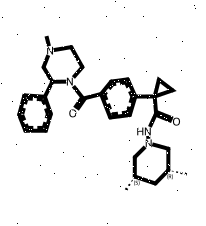 C[C@@H]1C[C@H](C)CN(NC(=O)C2(c3ccc(C(=O)N4CCN(C)CC4c4ccccc4)cc3)CC2)C1